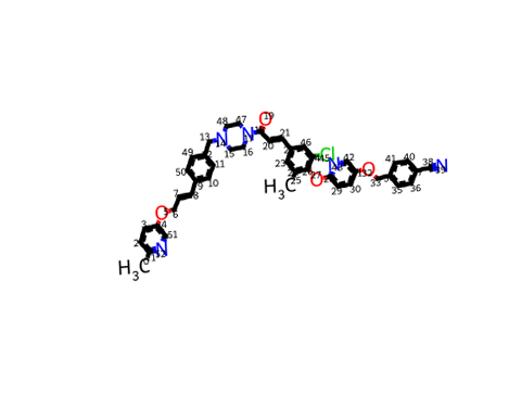 Cc1ccc(OC/C=C/c2ccc(CN3CCN(C(=O)/C=C/c4cc(C)c(Oc5ccc(OCc6ccc(C#N)cc6)cn5)c(Cl)c4)CC3)cc2)cn1